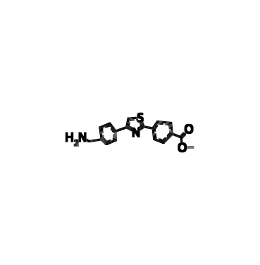 COC(=O)c1ccc(-c2nc(-c3ccc(CN)cc3)cs2)cc1